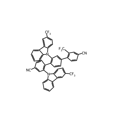 N#Cc1ccc(-c2ccc(-c3ccc(C#N)cc3C(F)(F)F)cc2-n2c3ccccc3c3cc(C(F)(F)F)ccc32)c(-n2c3ccccc3c3cc(C(F)(F)F)ccc32)c1